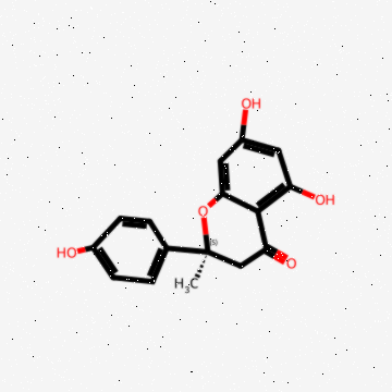 C[C@@]1(c2ccc(O)cc2)CC(=O)c2c(O)cc(O)cc2O1